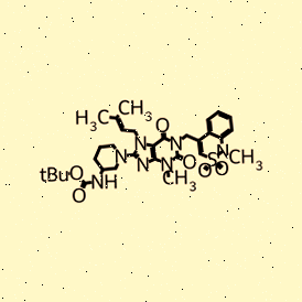 CC(C)=CCn1c(N2CCCC(NC(=O)OC(C)(C)C)C2)nc2c1c(=O)n(CC1=CS(=O)(=O)N(C)c3ccccc31)c(=O)n2C